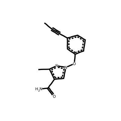 CC#Cc1cccc(On2cc(C(N)=O)c(C)n2)c1